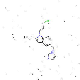 CCOC(=O)c1cc2cc(Cn3ccnc3)ccc2n1CCCCl